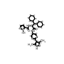 CCn1nccc1C(=O)N[C@H](C(=O)Nc1cnc(-c2c(C)n[nH]c2C)nc1)C(C1CCCCC1)C1CCCCC1